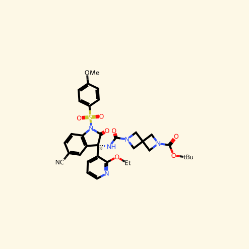 CCOc1ncccc1[C@]1(NC(=O)N2CC3(C2)CN(C(=O)OC(C)(C)C)C3)C(=O)N(S(=O)(=O)c2ccc(OC)cc2)c2ccc(C#N)cc21